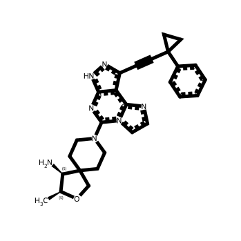 C[C@@H]1OCC2(CCN(c3nc4[nH]nc(C#CC5(c6ccccc6)CC5)c4c4nccn34)CC2)[C@@H]1N